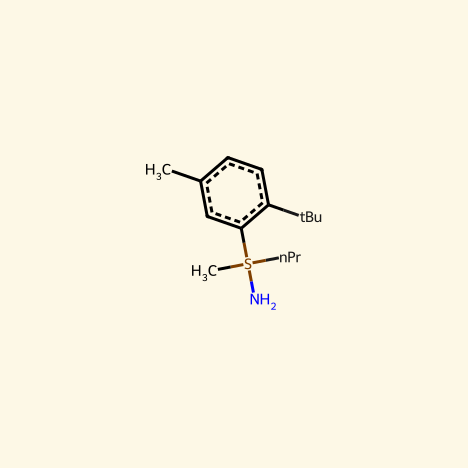 CCCS(C)(N)c1cc(C)ccc1C(C)(C)C